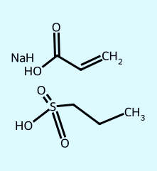 C=CC(=O)O.CCCS(=O)(=O)O.[NaH]